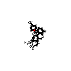 CN1[C@@H]2CC[C@@]3(S(=O)(=O)c4ccc(Cl)cc4)c4c(F)ccc(F)c4OC[C@H]3[C@@H]2CCS1(=O)=O